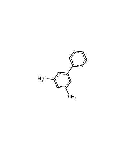 Cc1[c]c(-c2ccccc2)cc(C)c1